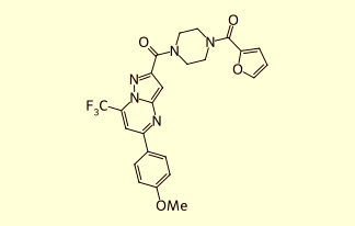 COc1ccc(-c2cc(C(F)(F)F)n3nc(C(=O)N4CCN(C(=O)c5ccco5)CC4)cc3n2)cc1